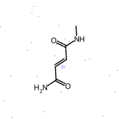 CNC(=O)/C=C/C(N)=O